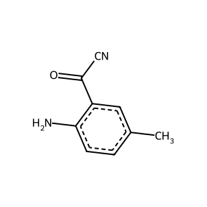 Cc1ccc(N)c(C(=O)C#N)c1